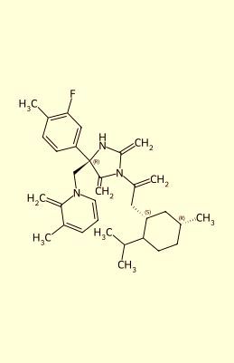 C=C1C(C)=CC=CN1C[C@@]1(c2ccc(C)c(F)c2)NC(=C)N(C(=C)C[C@@H]2C[C@H](C)CCC2C(C)C)C1=C